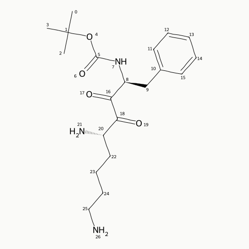 CC(C)(C)OC(=O)N[C@@H](Cc1ccccc1)C(=O)C(=O)[C@@H](N)CCCCN